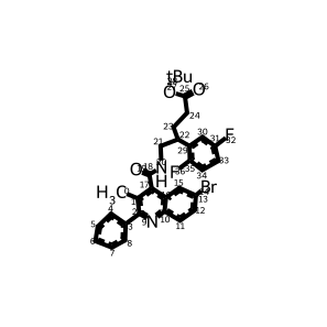 Cc1c(-c2ccccc2)nc2ccc(Br)cc2c1C(=O)NCC(CCC(=O)OC(C)(C)C)c1cc(F)ccc1F